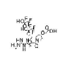 Cc1nc(NC(=N)N)sc1C(=O)N1CCC(OCC(=O)O)CC1.O=C(O)C(F)(F)F.O=C(O)C(F)(F)F